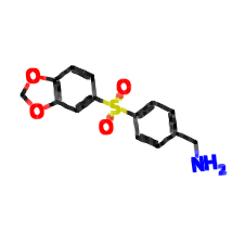 NCc1ccc(S(=O)(=O)c2ccc3c(c2)OCO3)cc1